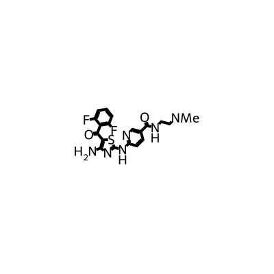 CNCCNC(=O)c1ccc(Nc2nc(N)c(C(=O)c3c(F)cccc3F)s2)nc1